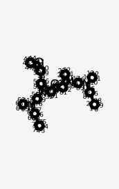 c1ccc(-c2ccc(N(c3ccccc3)c3ccc(-n4c5ccccc5c5c6oc7c(ccc8c7c7cc(-c9ccc%10oc%11ccccc%11c%10c9)ccc7n8-c7ccc(N(c8ccccc8)c8ccc(-c9ccccc9)cc8)cc7)c6ccc54)cc3)cc2)cc1